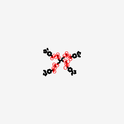 C=C[Si](C=C)(CC)c1ccc(C(=O)OOC(=O)OCCC(COC(=O)OOC(=O)c2ccc([Si](C=C)(C=C)CC)cc2)C(CCOC(=O)OOC(=O)c2ccc([Si](C=C)(C=C)CC)cc2)COC(=O)OOC(=O)c2ccc([Si](C=C)(C=C)CC)cc2)cc1